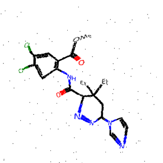 CCC1(CC)CC(n2ccnc2)N=NC1C(=O)Nc1cc(Cl)c(Cl)cc1C(=O)OC